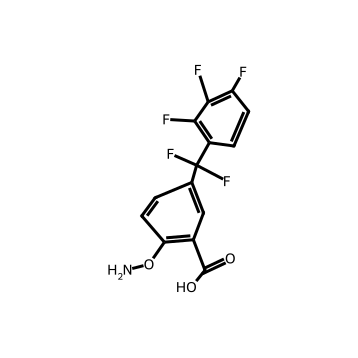 NOc1ccc(C(F)(F)c2ccc(F)c(F)c2F)cc1C(=O)O